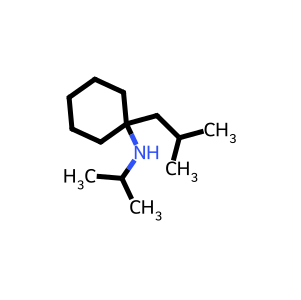 CC(C)CC1(NC(C)C)CCCCC1